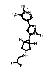 CC(C)n1nc(-c2cnc(N)c(C(F)(F)F)c2)cc1[C@H]1[C@@H]2C[C@H](NCC(F)F)C[C@@H]21